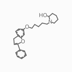 OC1CCCCN1CCCCCOc1ccc2c(c1)OC(c1ccccc1)=CC2